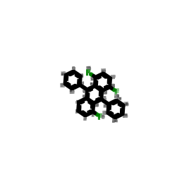 Fc1cccc2c(-c3ccccc3)c3c(F)ccc(F)c3c(-c3ccccc3)c12